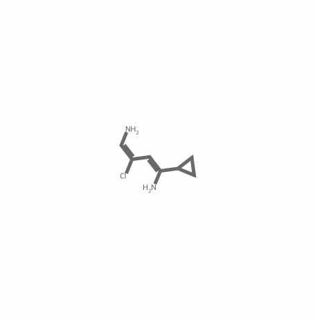 N/C=C(Cl)\C=C(/N)C1CC1